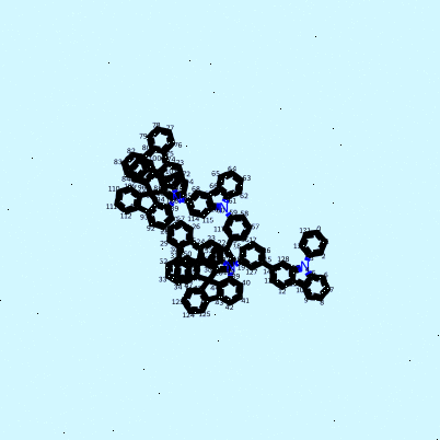 c1ccc(-n2c3ccccc3c3ccc(-c4cccc(N(c5ccc6c7ccccc7c7ccccc7c6c5)c5cccc6c5C5(c7ccccc7-c7cc(-c8cccc(-n9c%10ccccc%10c%10cc(N(c%11ccc%12c%13ccccc%13c%13ccccc%13c%12c%11)c%11cccc%12c%11C%11(c%13ccccc%13-c%13ccccc%13%11)c%11ccccc%11-%12)ccc%109)c8)ccc75)c5ccccc5-6)c4)cc32)cc1